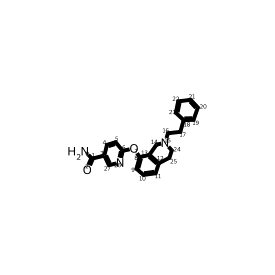 NC(=O)c1ccc(Oc2cccc3c2CN(CCc2ccccc2)CC3)nc1